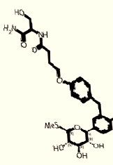 CS[C@H]1O[C@@H](c2ccc(Cl)c(Cc3ccc(OCCCC(=O)NC(CO)C(N)=O)cc3)c2)[C@H](O)[C@@H](O)[C@@H]1O